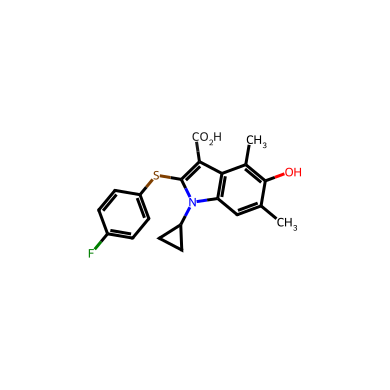 Cc1cc2c(c(C)c1O)c(C(=O)O)c(Sc1ccc(F)cc1)n2C1CC1